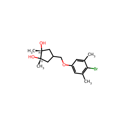 Cc1cc(OCC2C[C@](C)(O)[C@](C)(O)C2)cc(C)c1Br